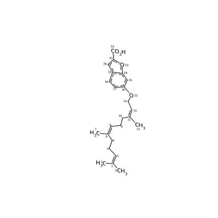 CC(C)=CCCC(C)=CCCC(C)=CCOc1ccc2cc(C(=O)O)oc2c1